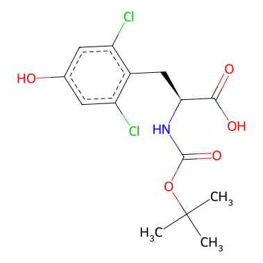 CC(C)(C)OC(=O)N[C@@H](Cc1c(Cl)cc(O)cc1Cl)C(=O)O